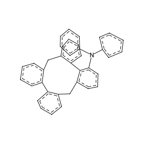 c1ccc(N(c2ccccc2)c2cccc3c2-c2ccccc2Cc2ccccc2-c2ccccc2C3)cc1